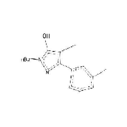 CCCCn1nc(-c2cccc(C)c2)c(C)c1O